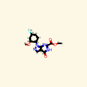 CCOC(=O)c1nc2c(cnn2-c2ccc(F)cc2OC)c(=O)[nH]1